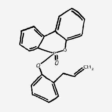 C=CCc1ccccc1OP1(=O)Oc2ccccc2-c2ccccc21